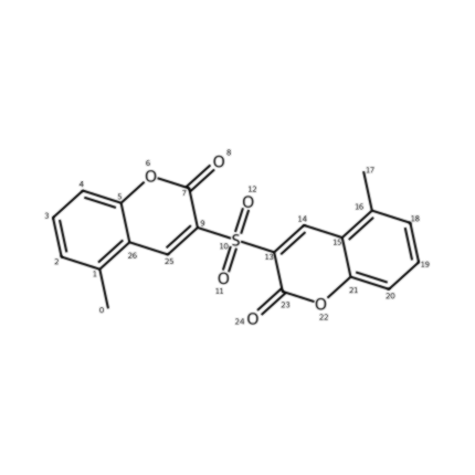 Cc1cccc2oc(=O)c(S(=O)(=O)c3cc4c(C)cccc4oc3=O)cc12